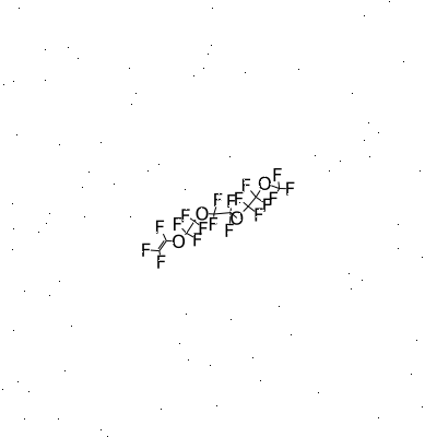 FC(F)=C(F)OC(F)(F)C(F)(F)OC(F)(F)C(F)(F)OC(F)(F)C(F)(F)OC(F)(F)F